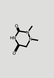 CN1CC(=O)NC(=O)N1C